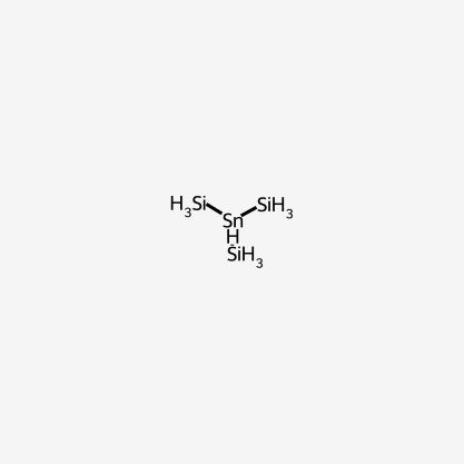 [SiH3][SnH]([SiH3])[SiH3]